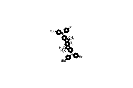 CC(C)(C)c1ccc(N(c2ccc(Br)cc2)c2ccc3c(c2)C(C)(C)c2cc4c(cc2-3)C(C)(C)c2cc(N(c3ccc(Br)cc3)c3ccc(C(C)(C)C)cc3)ccc2-4)cc1